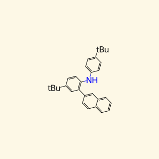 CC(C)(C)c1ccc(Nc2ccc(C(C)(C)C)cc2-c2ccc3ccccc3c2)cc1